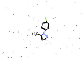 Cc1c[c]nn1-c1ccc(F)cc1